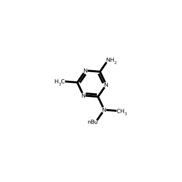 CCCCN(C)c1nc(C)nc(N)n1